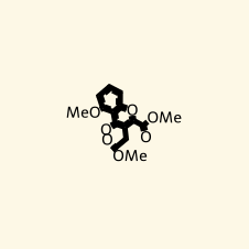 COC(=O)Cc1c(C(=O)OC)oc2cccc(OC)c2c1=O